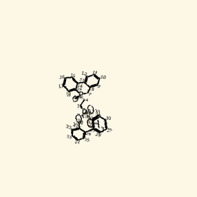 C[P@@](=O)(CC[P@@]1(=O)Cc2ccccc2-c2ccccc21)Oc1ccccc1-c1ccccc1